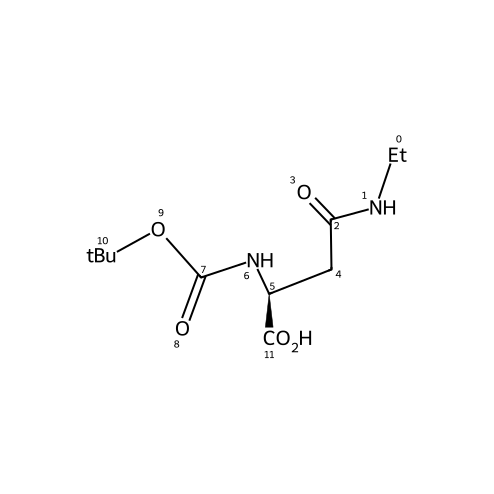 CCNC(=O)C[C@H](NC(=O)OC(C)(C)C)C(=O)O